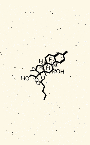 C=C1C=C[C@@]2(C)C(=C1)CC[C@H]1[C@@H]3C[C@H](C)[C@](OC(=O)CCCC)(C(=O)CO)[C@@]3(C)C[C@H](O)[C@@]12F